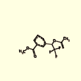 COC(=O)c1cccc(C(OC(C)=S)C(F)(F)F)c1